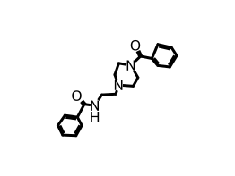 O=C(NCCN1CCN(C(=O)c2ccccc2)CC1)c1ccccc1